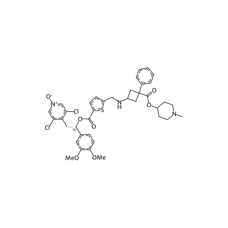 COc1ccc([C@H](Cc2c(Cl)c[n+]([O-])cc2Cl)OC(=O)c2ccc(CNC3CC(C(=O)OC4CCN(C)CC4)(c4ccccc4)C3)s2)cc1OC